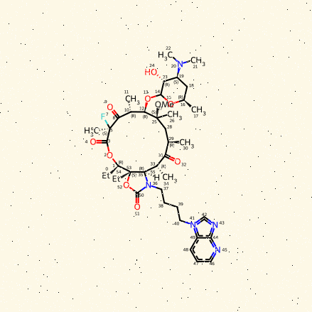 CC[C@H]1OC(=O)[C@@](C)(F)C(=O)[C@H](C)[C@@H](OC2O[C@H](C)C[C@H](N(C)C)[C@H]2O)[C@@](C)(OC)C[C@@H](C)C(=O)[C@H](C)[C@H]2N(CCCCn3cnc4ncccc43)C(=O)O[C@]12CC